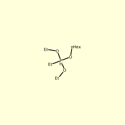 CCCCCCO[PH](CC)(OCC)OCC